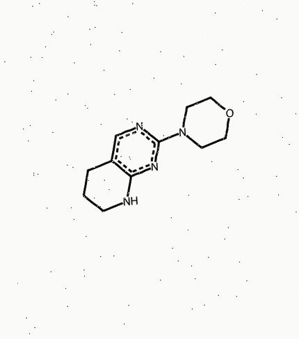 c1nc(N2CCOCC2)nc2c1CCCN2